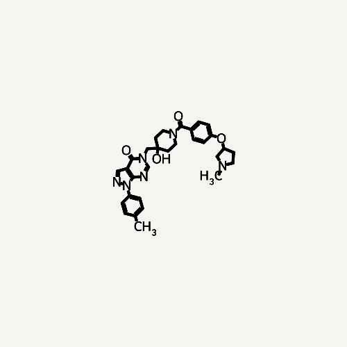 Cc1ccc(-n2ncc3c(=O)n(CC4(O)CCN(C(=O)c5ccc(OC6CCN(C)C6)cc5)CC4)cnc32)cc1